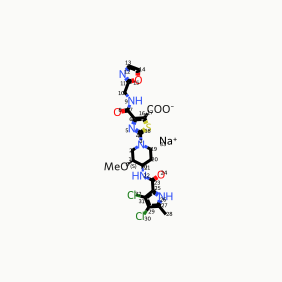 CO[C@H]1CN(c2nc(C(=O)NCc3ncco3)c(C(=O)[O-])s2)CC[C@H]1NC(=O)c1[nH]c(C)c(Cl)c1Cl.[Na+]